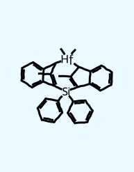 CC1=C2c3ccccc3[CH]1[Hf]([CH3])([CH3])[CH]1C(C)=C(c3ccccc31)[Si]2(c1ccccc1)c1ccccc1